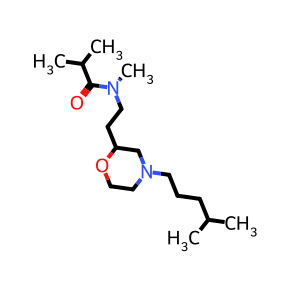 CC(C)CCCN1CCOC(CCN(C)C(=O)C(C)C)C1